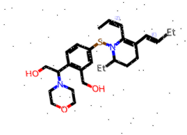 C/C=C\C1=C(/C=C/CC)CCC(CC)N1Sc1ccc(C(CO)N2CCOCC2)c(CO)c1